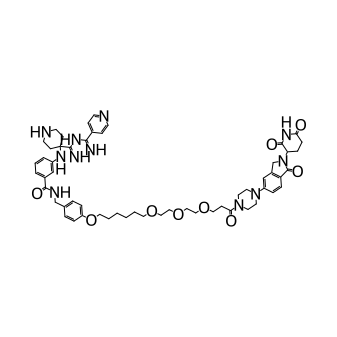 N=C(NC(=N)C1(Nc2cccc(C(=O)NCc3ccc(OCCCCCCOCCOCCOCCC(=O)N4CCN(c5ccc6c(c5)CN(C5CCC(=O)NC5=O)C6=O)CC4)cc3)c2)CCNCC1)c1ccncc1